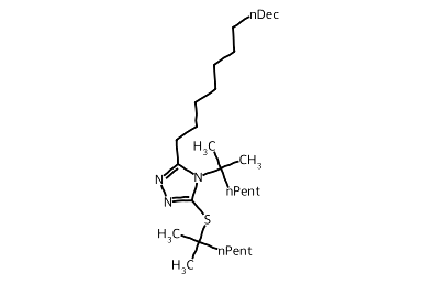 CCCCCCCCCCCCCCCCCc1nnc(SC(C)(C)CCCCC)n1C(C)(C)CCCCC